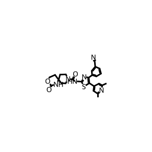 Cc1cc(-c2sc(NC(=O)N3CCC4(CCOC(=O)N4)CC3)nc2-c2cccc(C#N)c2)cc(C)n1